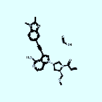 C=CC(=O)N1C[C@@H](n2cc(C#Cc3ccc4c(c3)nc(C)n4C)c3c(N)nccc32)C[C@@H]1COC.O=CO